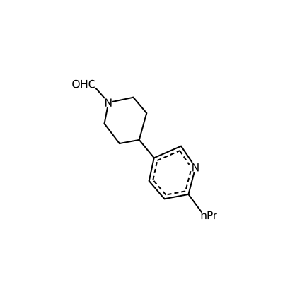 CCCc1ccc(C2CCN(C=O)CC2)cn1